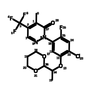 Cc1c(C(F)(F)F)cnn(-c2cc(OC(C)C3OCCCO3)c(Cl)cc2F)c1=O